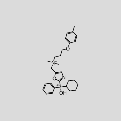 Cc1ccc(OCCC[N+](C)(C)Cc2cnc([C@](O)(c3ccccc3)C3CCCCC3)o2)cc1